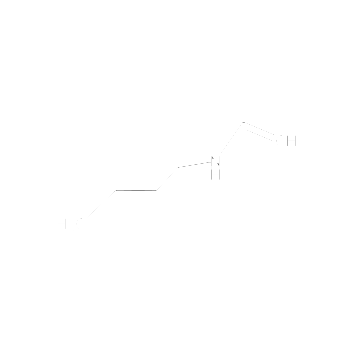 [CH2]CCCNC=C